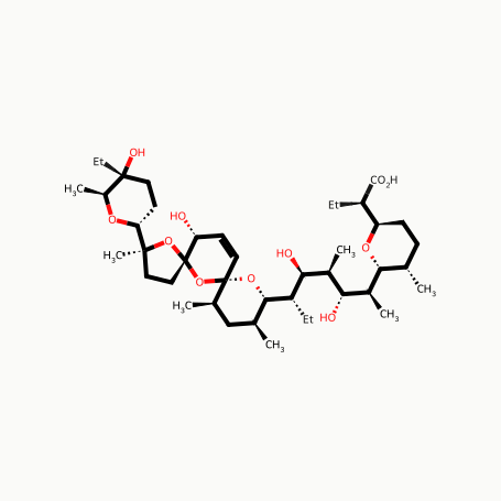 CC[C@@H]([C@@H](O)[C@@H](C)[C@@H](O)[C@H](C)[C@@H]1O[C@@H]([C@@H](CC)C(=O)O)CC[C@@H]1C)[C@H]1O[C@]2(C=C[C@@H](O)[C@]3(CC[C@@](C)([C@H]4CC[C@](O)(CC)[C@H](C)O4)O3)O2)[C@H](C)C[C@@H]1C